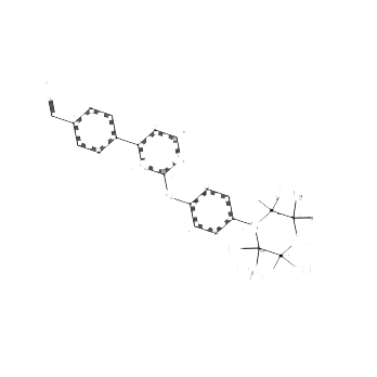 BC1(B)OC(B)(B)C(B)(O)N(c2ccc(Nc3nccc(-c4ccc(C=O)cc4)n3)cc2)C1(B)B